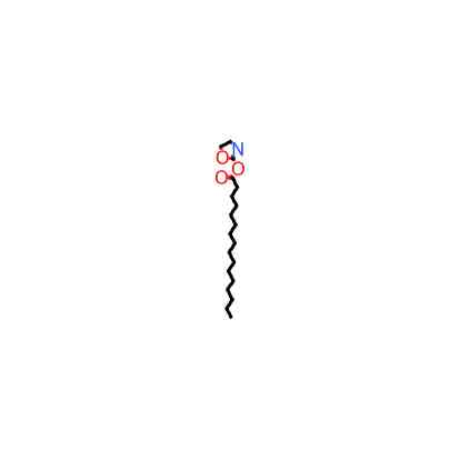 CCCCCCCCCCCCCCCC(=O)OC1=NCCO1